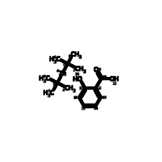 C[C](C)(C)[Zn][C](C)(C)C.O=C(O)c1ccccc1O